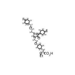 CCOC(Cc1ccc(OCCN(CCCCOCc2ccc(F)cc2)C(=O)Nc2ccc(F)cc2)cc1)C(=O)O